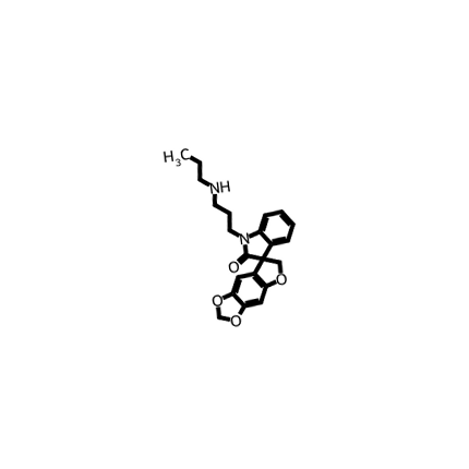 CCCNCCCN1C(=O)C2(COc3cc4c(cc32)OCO4)c2ccccc21